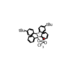 CC(C)(C)c1ccc([I+](c2ccc(C(C)(C)C)cc2)[I+](OS(=O)(=O)C(F)(F)F)(c2ccccc2)c2ccccc2)cc1